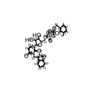 Cc1cccc2c1OP(=O)(OP(=O)(O)OC[C@H]1O[C@@H](n3ccc(=O)n(Cc4noc5ccccc45)c3=O)C(O)C1O)OC2